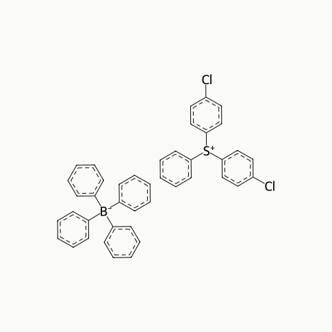 Clc1ccc([S+](c2ccccc2)c2ccc(Cl)cc2)cc1.c1ccc([B-](c2ccccc2)(c2ccccc2)c2ccccc2)cc1